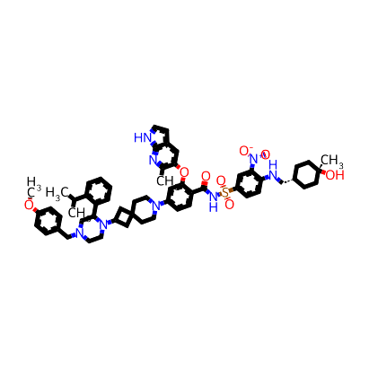 COc1ccc(CN2CCN(C3CC4(CCN(c5ccc(C(=O)NS(=O)(=O)c6ccc(NC[C@H]7CC[C@](C)(O)CC7)c([N+](=O)[O-])c6)c(Oc6cc7cc[nH]c7nc6C)c5)CC4)C3)C(c3ccccc3C(C)C)C2)cc1